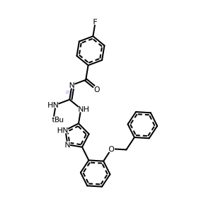 CC(C)(C)N/C(=N/C(=O)c1ccc(F)cc1)Nc1cc(-c2ccccc2OCc2ccccc2)n[nH]1